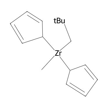 CC(C)(C)[CH2][Zr]([CH3])([CH]1C=CC=C1)[CH]1C=CC=C1